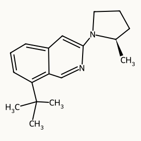 C[C@@H]1CCCN1c1cc2cccc(C(C)(C)C)c2cn1